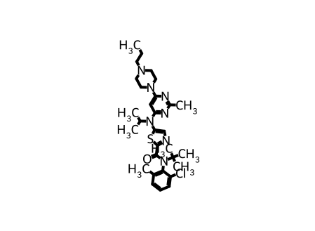 CCCN1CCN(c2cc(N(c3cnc(C(=O)N(c4c(C)cccc4Cl)C(C)(C)C)s3)C(C)C)nc(C)n2)CC1